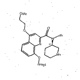 CCCCCCCOc1cccc2c(OCCOC)cc(C(=O)N(C(C)C)[C@@H]3CCCNC3)nc12